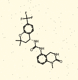 CN1C(=O)NCc2c(NC(=O)N[C@@H]3CC(C)(C)Oc4cc(C(F)(F)F)ccc43)cccc21